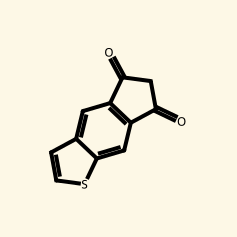 O=C1CC(=O)c2cc3sccc3cc21